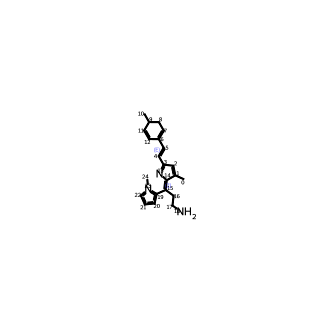 CC1=CC(/C=C/C2=CCC(C)C=C2)=NC/1=C(/CCN)c1cccn1C